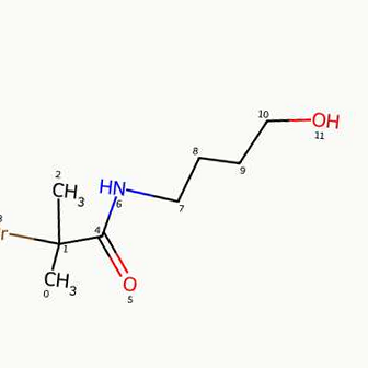 CC(C)(Br)C(=O)NCCCCO